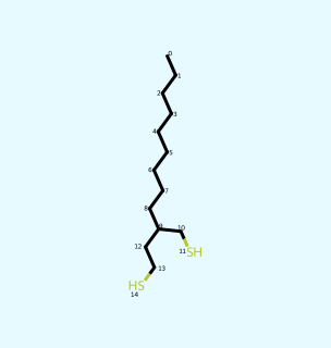 CCCCCCCCCC(CS)CCS